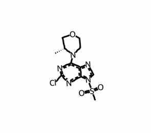 C[C@@H]1COCCN1c1nc(Cl)nc2c1ncn2S(C)(=O)=O